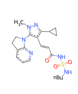 CCCCNS(=O)(=O)NC(=O)/C=C/c1c(C2CC2)nn(C)c1N1CCc2cccnc21